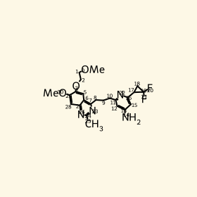 COCCOc1cc2c(CCCc3cc(N)cc(C4CC4(F)F)n3)nc(C)nc2cc1OC